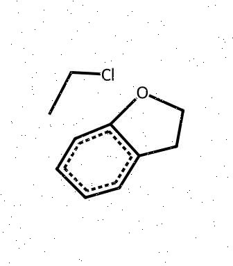 CCCl.c1ccc2c(c1)CCO2